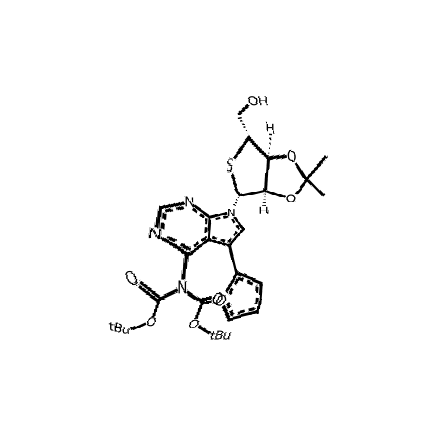 CC(C)(C)OC(=O)N(C(=O)OC(C)(C)C)c1ncnc2c1c(-c1ccco1)cn2[C@@H]1S[C@H](CO)[C@H]2OC(C)(C)O[C@H]21